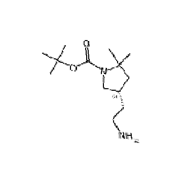 CC(C)(C)OC(=O)N1C[C@@H](CCN)CC1(C)C